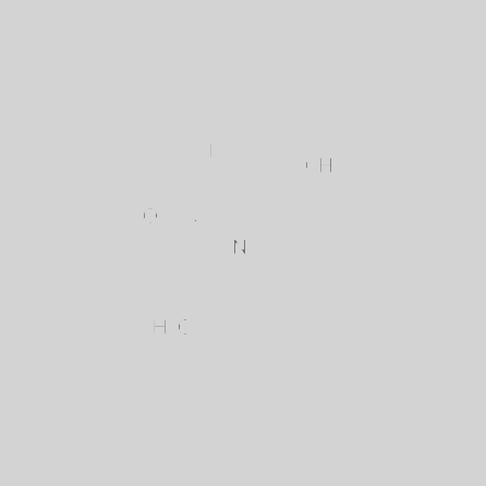 CCN(CC)C(=O)I